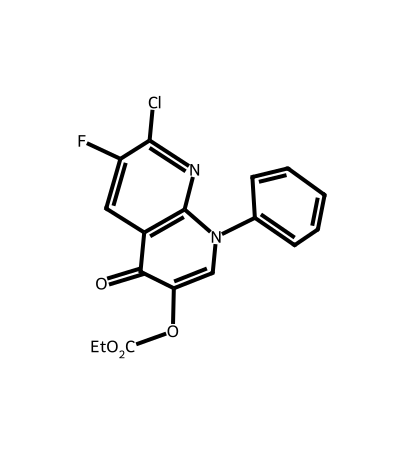 CCOC(=O)Oc1cn(-c2ccccc2)c2nc(Cl)c(F)cc2c1=O